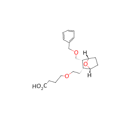 O=C(O)CCCOCC[C@@H]1[C@H](COCc2ccccc2)[C@@H]2CC[C@H]1O2